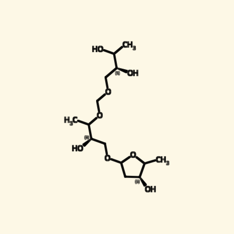 CC(OCOC[C@H](O)C(C)O)[C@H](O)COC1C[C@H](O)C(C)O1